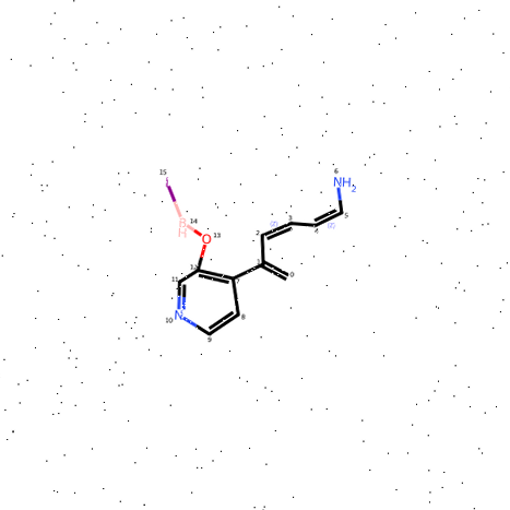 C=C(/C=C\C=C/N)c1ccncc1OBI